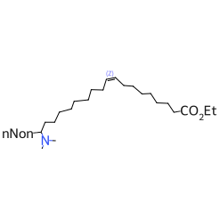 CCCCCCCCCC(CCCCCCCC/C=C\CCCCCCCC(=O)OCC)N(C)C